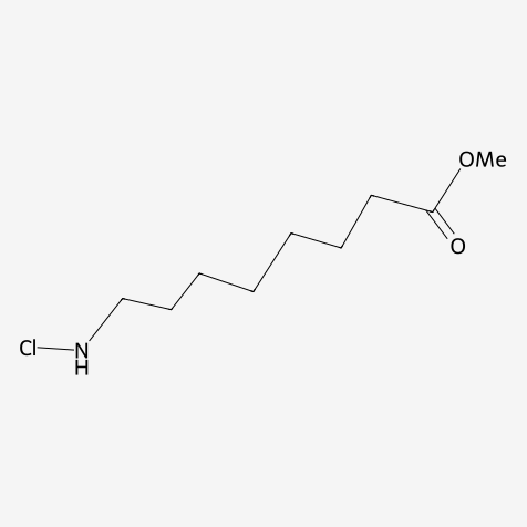 COC(=O)CCCCCCCNCl